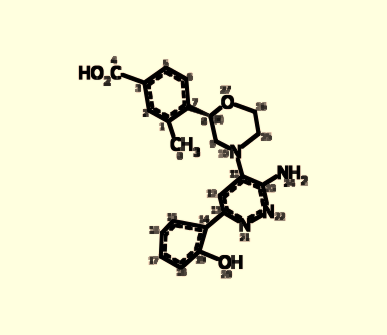 Cc1cc(C(=O)O)ccc1[C@@H]1CN(c2cc(-c3ccccc3O)nnc2N)CCO1